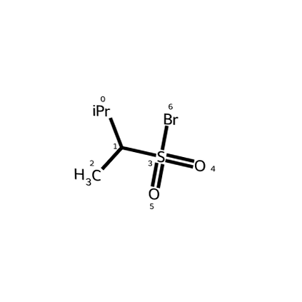 CC(C)C(C)S(=O)(=O)Br